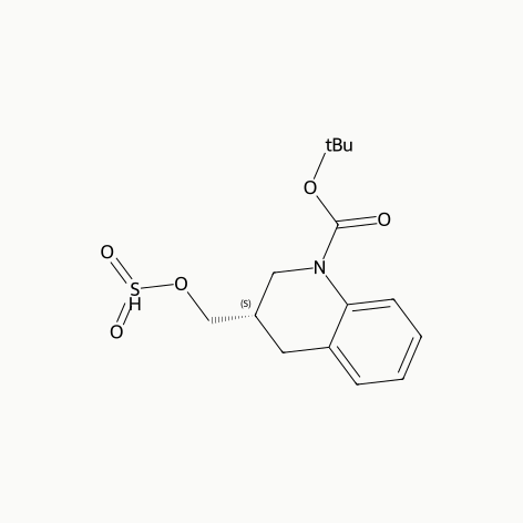 CC(C)(C)OC(=O)N1C[C@@H](CO[SH](=O)=O)Cc2ccccc21